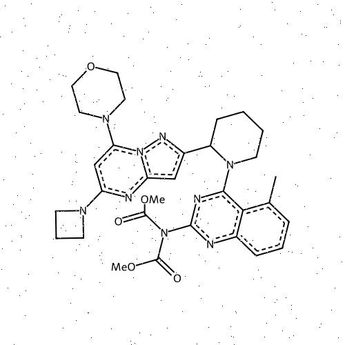 COC(=O)N(C(=O)OC)c1nc(N2CCCCC2c2cc3nc(N4CCC4)cc(N4CCOCC4)n3n2)c2c(C)cccc2n1